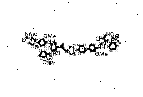 CNC(=O)N1CCP(=O)(c2ccc(Nc3nc(Nc4ccccc4S(=O)(=O)C(C)C)c(Cl)c(C4CC4CN4CCN(C5CCN(C6=CC(OC)=C(NC/N=C(Nc7ccccc7P(C)(C)=O)\C(Cl)=C/N=O)CC6)CC5)CC4)n3)c(OC)c2)CC1